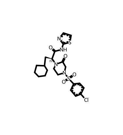 O=C(Nc1nccs1)[C@H](CC1CCCCC1)N1CCN(S(=O)(=O)c2ccc(Cl)cc2)CC1=O